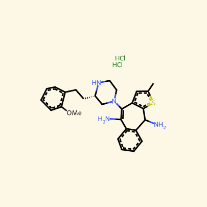 COc1ccccc1CC[C@H]1CN(C2=C(N)c3ccccc3C(N)c3sc(C)cc32)CCN1.Cl.Cl